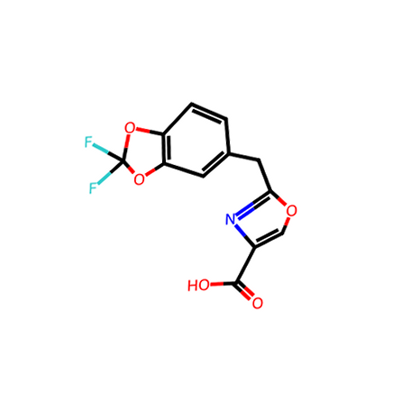 O=C(O)c1coc(Cc2ccc3c(c2)OC(F)(F)O3)n1